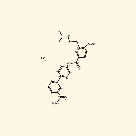 COc1ccc(C(=O)Nc2ccc(-c3cccc(C(N)=O)c3)cc2)cc1CCCN(C)C.Cl